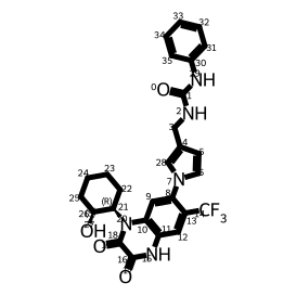 O=C(NCc1ccn(-c2cc3c(cc2C(F)(F)F)[nH]c(=O)c(=O)n3[C@@H]2CCCC[C@@H]2O)c1)Nc1ccccc1